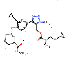 COC(=O)[C@H]1CCC[C@H](Oc2ccc(-c3nnn(C)c3COC(=O)N(C)CCC3CC3)nc2C2CC2)C1